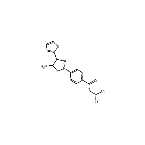 CCC(CC)CC(=O)c1ccc(N2CC(N)C(c3cccs3)N2)cc1